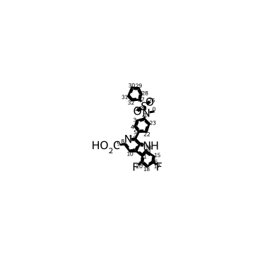 CN(c1ccc(-c2nc(C(=O)O)cc3c2[nH]c2cc(F)cc(F)c23)cc1)S(=O)(=O)c1ccccc1